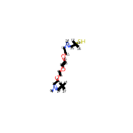 CN(CCOCCOCCOCCN(C)CC(C)(C)S)CC(C)(C)C